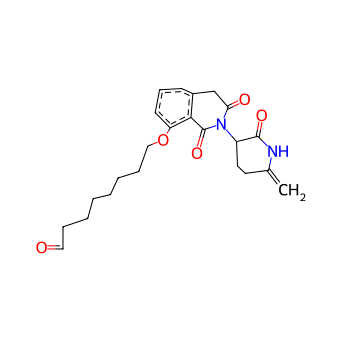 C=C1CCC(N2C(=O)Cc3cccc(OCCCCCCCC=O)c3C2=O)C(=O)N1